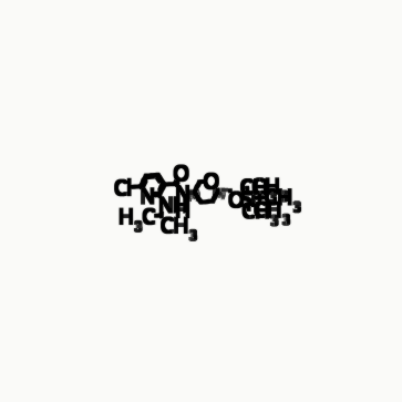 CC(C)Nc1nc(Cl)ccc1C(=O)N[C@@H]1CC[C@@H](CO[Si](C)(C)C(C)(C)C)OC1